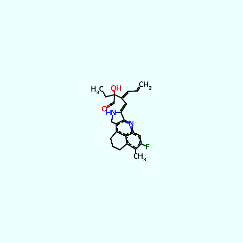 C=C/C=C(\C=C1/NCc2c1nc1cc(F)c(C)c3c1c2CCC3)[C@](O)(C=O)CC